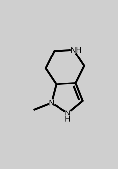 CN1NC=C2CNCCC21